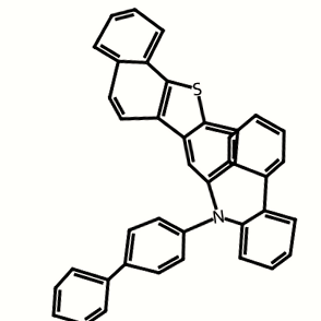 c1ccc(-c2ccc(N(c3ccc4sc5c6ccccc6ccc5c4c3)c3ccccc3-c3ccccc3)cc2)cc1